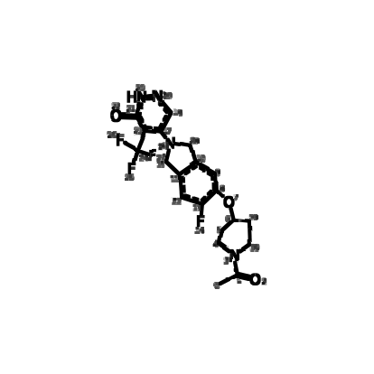 CC(=O)N1CCC(Oc2cc3c(cc2F)CN(c2cn[nH]c(=O)c2C(F)(F)F)C3)CC1